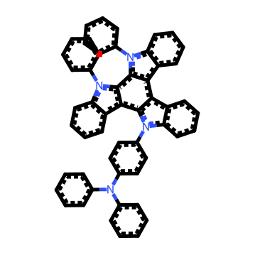 c1ccc(N(c2ccccc2)c2ccc(-n3c4ccccc4c4c5c6ccccc6n(-c6ccccc6)c5c5c(c6ccccc6n5-c5ccccc5)c43)cc2)cc1